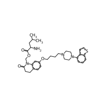 CC(C)CC(N)C(=O)OCN1C(=O)CCc2ccc(OCCCCN3CCN(c4cccc5sccc45)CC3)cc21